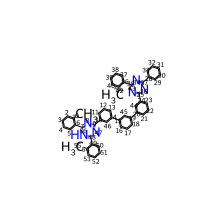 Cc1ccccc1C1=NC(c2cccc(-c3cccc(-c4cccc(-c5nc(-c6ccccc6)nc(-c6ccccc6C)n5)c4)c3)c2)=NC(c2ccccc2C)N1